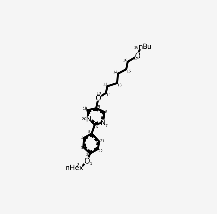 CCCCCCOc1ccc(-c2ncc(OCCCCCCOCCCC)cn2)cc1